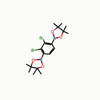 CC1(C)OB(c2ccc(B3OC(C)(C)C(C)(C)O3)c(Br)c2Br)OC1(C)C